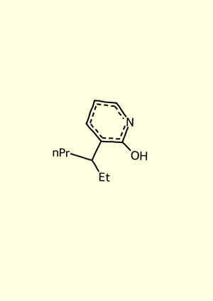 CCCC(CC)c1cccnc1O